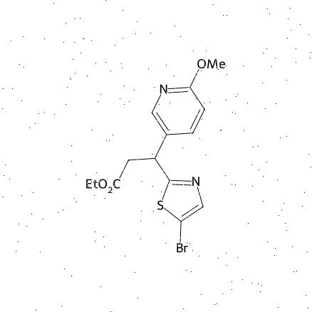 CCOC(=O)CC(c1ccc(OC)nc1)c1ncc(Br)s1